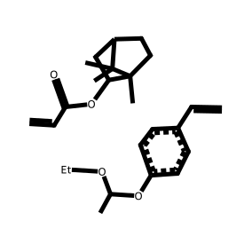 C=CC(=O)OC1CC2CCC1(C)C2(C)C.C=Cc1ccc(OC(C)OCC)cc1